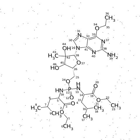 CCOC(=O)C(CC(C)C)NP(=O)(NC(CC(C)C)C(=O)OCC)OC[C@H]1O[C@@H](n2cnc3c(OCC)nc(N)nc32)C(C)(O)C1O